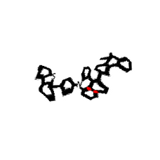 CC1(C)c2ccccc2-c2cc(-c3ccccc3-c3ccccc3N(c3ccccc3)c3ccc(-c4cccc5c4sc4ccccc45)cc3)ccc21